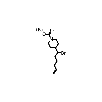 C=CCCCC(Br)C1CCN(C(=O)OC(C)(C)C)CC1